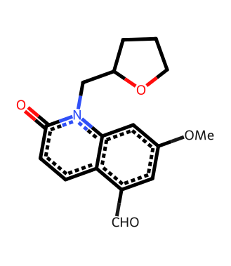 COc1cc(C=O)c2ccc(=O)n(CC3CCCO3)c2c1